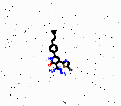 CCc1cnc(-c2cc(-c3ccc(CCC4CC4)cc3)[nH]c(=O)c2/C(N)=N/N)s1